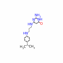 CC(C)c1ccc(NCCCNc2cc(=O)[nH]c(N)n2)cc1